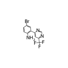 Nc1ccc(Br)cc1-c1cc(C(F)(F)F)ncn1